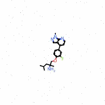 CC(C)CC(C)(N)COc1ccc(-c2ccnc3c2cnn3C)cc1F